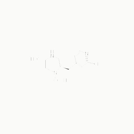 Cc1cc(C[C@@H]2CN[C@@H](C)CN2C(=O)O)ccn1